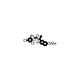 C#CC(NC(=O)C(Oc1ccc(Cl)cc1Cl)C(C)C)c1ccc2ccc(OC)cc2c1